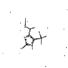 CSC(C)c1nc(C)[nH]c1C(C)(C)C